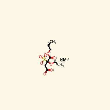 C=CCOC(=O)C(CC(=O)[O-])(OCC)S(=O)(=O)[O-].[Na+].[Na+]